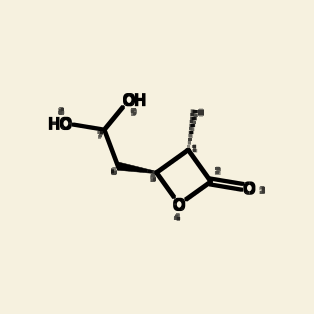 C[C@@H]1C(=O)O[C@H]1CC(O)O